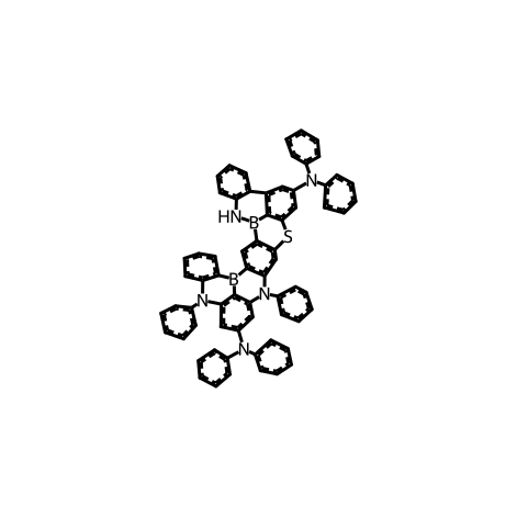 c1ccc(N(c2ccccc2)c2cc3c4c(c2)-c2ccccc2NB4c2cc4c(cc2S3)N(c2ccccc2)c2cc(N(c3ccccc3)c3ccccc3)cc3c2B4c2ccccc2N3c2ccccc2)cc1